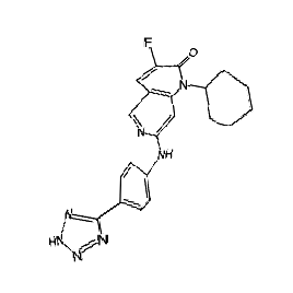 O=c1c(F)cc2cnc(Nc3ccc(-c4nn[nH]n4)cc3)cc2n1C1CCCCC1